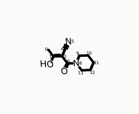 C/C(O)=C(\C#N)C(=O)N1CCCCC1